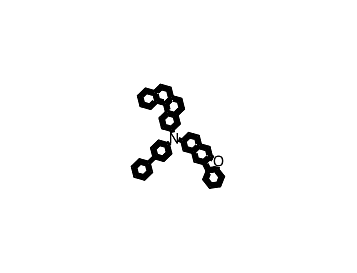 c1ccc(-c2ccc(N(c3ccc4cc5oc6ccccc6c5cc4c3)c3ccc4c(ccc5ccc6ccccc6c54)c3)cc2)cc1